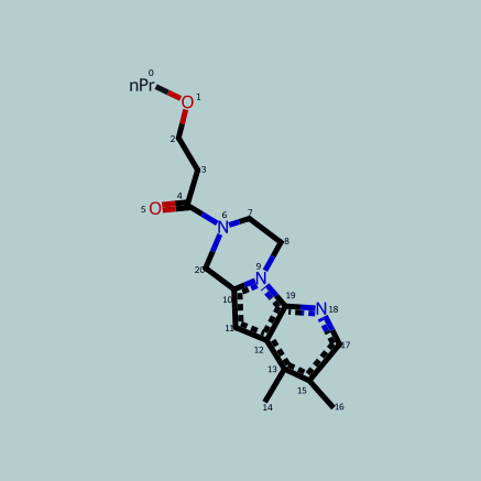 CCCOCCC(=O)N1CCn2c(cc3c(C)c(C)cnc32)C1